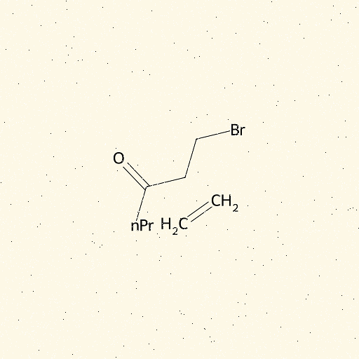 C=C.CCCC(=O)CCBr